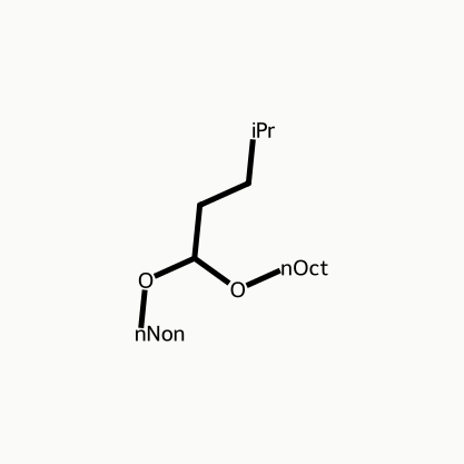 CCCCCCCCCOC(CCC(C)C)OCCCCCCCC